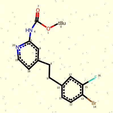 CC(C)(C)OC(=O)Nc1cc(CCc2ccc(Br)c(F)c2)ccn1